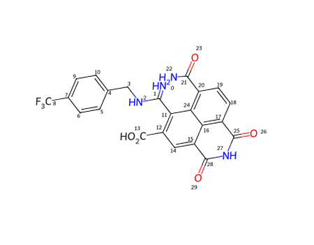 N=C(NCc1ccc(C(F)(F)F)cc1)c1c(C(=O)O)cc2c3c(ccc(C(N)=O)c13)C(=O)NC2=O